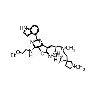 CCOCCNc1nc(-c2cccc3[nH]ccc23)nc2c1OC(=N/C)/C2=C\[C@H](C)CN(C)CCC1(C)CCN(C)C1